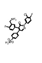 NCc1cc(-c2c(-c3ccc(S(N)(=O)=O)cc3)cnn(-c3ccc(F)c(Cl)c3)c2=O)ccc1F